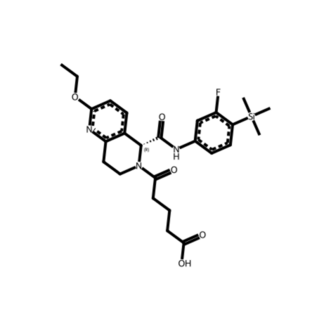 CCOc1ccc2c(n1)CCN(C(=O)CCCC(=O)O)[C@H]2C(=O)Nc1ccc([Si](C)(C)C)c(F)c1